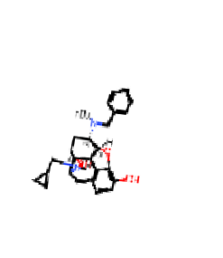 CCCCN(Cc1ccccc1)[C@H]1CC[C@]2(O)C3Cc4ccc(O)c5c4[C@]2(CCN3CC2CC2)[C@@H]1O5